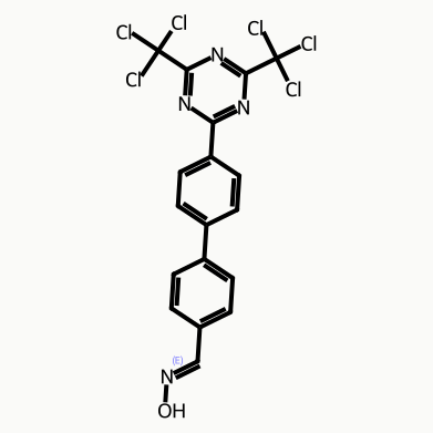 O/N=C/c1ccc(-c2ccc(-c3nc(C(Cl)(Cl)Cl)nc(C(Cl)(Cl)Cl)n3)cc2)cc1